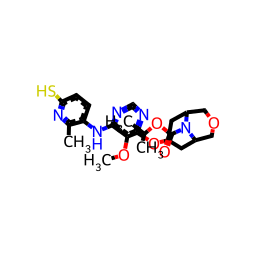 COc1c(Nc2ccc(S)nc2C)ncnc1OC1CC2COCC(C1)N2C(=O)OC(C)C